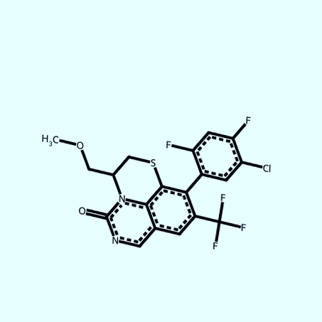 COCC1CSc2c(-c3cc(Cl)c(F)cc3F)c(C(F)(F)F)cc3cnc(=O)n1c23